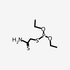 CCOP(OCC)SCC(N)=S